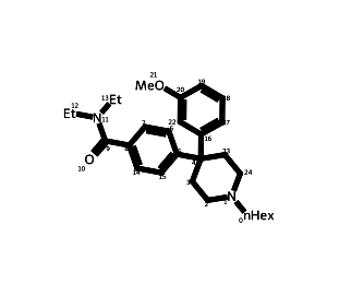 CCCCCCN1CCC(c2ccc(C(=O)N(CC)CC)cc2)(c2cccc(OC)c2)CC1